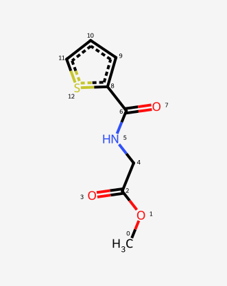 COC(=O)CNC(=O)c1cccs1